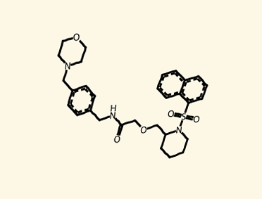 O=C(COCC1CCCCN1S(=O)(=O)c1cccc2ccccc12)NCc1ccc(CN2CCOCC2)cc1